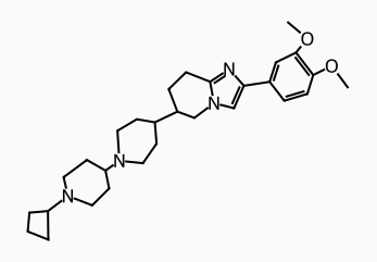 COc1ccc(-c2cn3c(n2)CCC(C2CCN(C4CCN(C5CCC5)CC4)CC2)C3)cc1OC